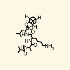 CC(C)C[C@H](NC(=O)C(CCCCN)NC(=O)C(C)NC(=O)C(C)C)B1O[C@@H]2C[C@@H]3C[C@@H](C3(C)C)[C@]2(C)O1